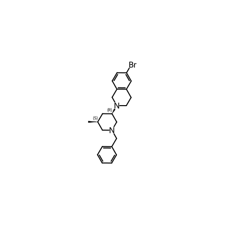 C[C@H]1C[C@@H](N2CCc3cc(Br)ccc3C2)CN(Cc2ccccc2)C1